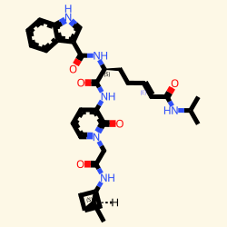 CC(C)NC(=O)/C=C/CC[C@H](NC(=O)c1c[nH]c2ccccc12)C(=O)Nc1cccn(CC(=O)NC23CC(C2)[C@@H]3C)c1=O